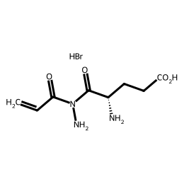 Br.C=CC(=O)N(N)C(=O)[C@@H](N)CCC(=O)O